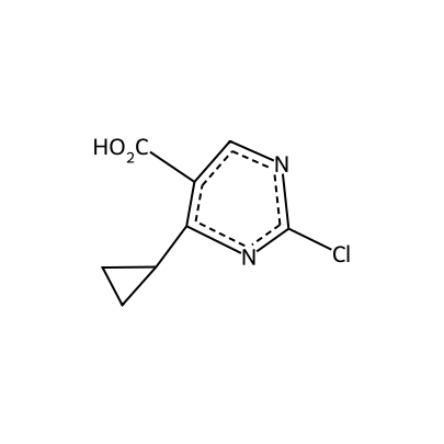 O=C(O)c1cnc(Cl)nc1C1CC1